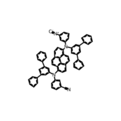 [C-]#[N+]c1cccc(N(c2cc(-c3ccccc3)cc(-c3ccccc3)c2)c2ccc3ccc4c(N(c5cccc(C#N)c5)c5cc(-c6ccccc6)cc(-c6ccccc6)c5)ccc5ccc2c3c54)c1